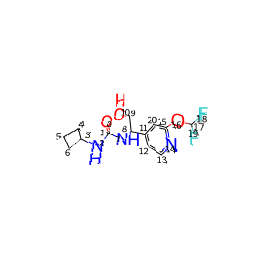 O=C(NC1CCC1)NC(CO)c1ccnc(OC(F)F)c1